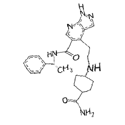 C[C@@H](NC(=O)c1cnc2[nH]ncc2c1CCNC1CCC(C(N)=O)CC1)c1ccccc1